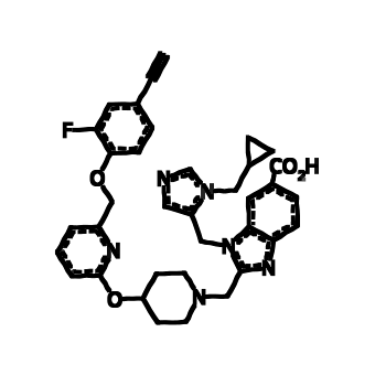 C#Cc1ccc(OCc2cccc(OC3CCN(Cc4nc5ccc(C(=O)O)cc5n4Cc4cncn4CC4CC4)CC3)n2)c(F)c1